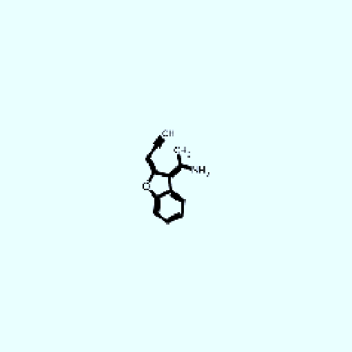 C#C/C=c1/oc2ccccc2/c1=C(/C)N